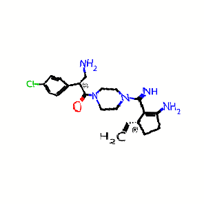 C=C[C@H]1CCC(N)=C1C(=N)N1CCN(C(=O)[C@H](CN)c2ccc(Cl)cc2)CC1